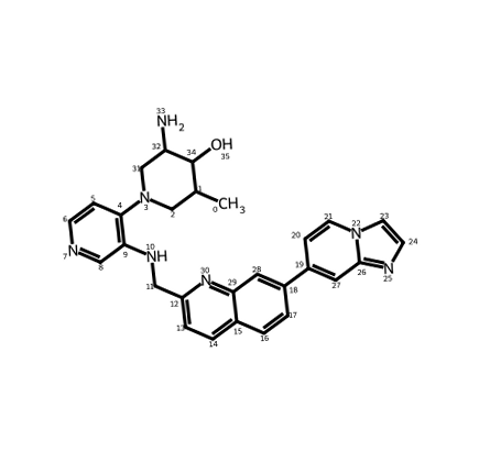 CC1CN(c2ccncc2NCc2ccc3ccc(-c4ccn5ccnc5c4)cc3n2)CC(N)C1O